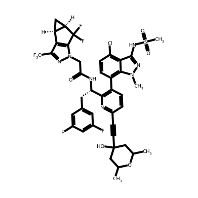 CC1CC(O)(C#Cc2ccc(-c3ccc(Cl)c4c(NS(C)(=O)=O)nn(C)c34)c([C@H](Cc3cc(F)cc(F)c3)NC(=O)Cn3nc(C(F)(F)F)c4c3C(F)(F)[C@@H]3C[C@H]43)n2)CC(C)O1